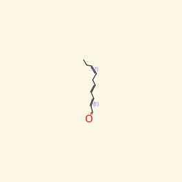 CC/C=C\CC=C/C=C/C=O